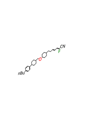 CCCCc1ccc(C2CCC(COC3CCC(CCC=CC=C(F)C#N)CC3)CC2)cc1